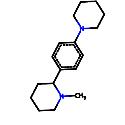 CN1CCCCC1c1ccc(N2CCCCC2)cc1